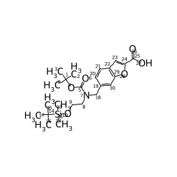 CC(C)(C)OC(=O)N(CCO[Si](C)(C)C(C)(C)C)Cc1ccc2cc(C(=O)O)oc2c1